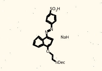 CCCCCCCCCCCCOc1ccc(N=Nc2ccc(S(=O)(=O)O)cc2)c2ccccc12.[NaH]